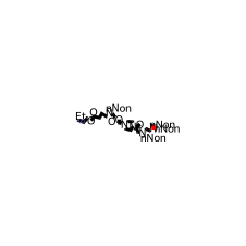 CC/C=C\COC(=O)CCCN(CCCCCCCCC)CC(=O)OCN1CCN(C(=O)CN(CCCCCCCCC)CCN(CCCCCCCCC)CCCCCCCCC)CC1